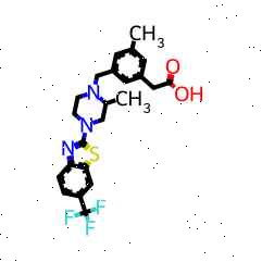 Cc1cc(CC(=O)O)cc(CN2CCN(c3nc4ccc(C(F)(F)F)cc4s3)CC2C)c1